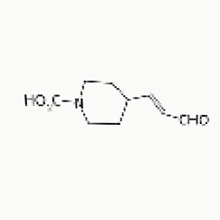 O=C/C=C/C1CCN(C(=O)O)CC1